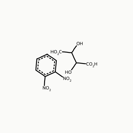 O=C(O)C(O)C(O)C(=O)O.O=[N+]([O-])c1ccccc1[N+](=O)[O-]